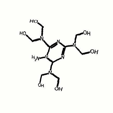 NN1C(N(CO)CO)=NC(N(CO)CO)=NC1N(CO)CO